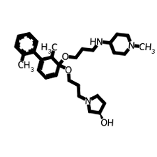 Cc1ccccc1C1=CC=CC(OCCCNC2CCN(C)CC2)(OCCCN2CC[C@@H](O)C2)C1C